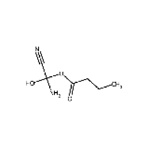 CCCC(=O)OC(N)(O)C#N